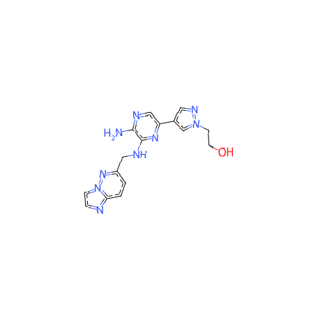 Nc1ncc(-c2cnn(CCO)c2)nc1NCc1ccc2nccn2n1